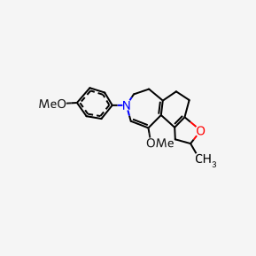 COC1=CN(c2ccc(OC)cc2)CCC2=C1C1=C(CC2)OC(C)C1